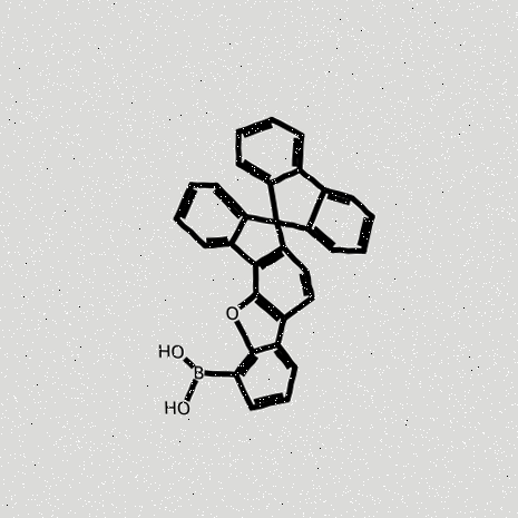 OB(O)c1cccc2c1oc1c3c(ccc12)C1(c2ccccc2-c2ccccc21)c1ccccc1-3